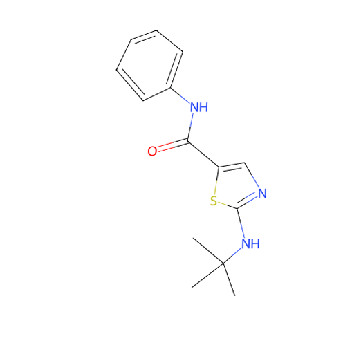 CC(C)(C)Nc1ncc(C(=O)Nc2ccccc2)s1